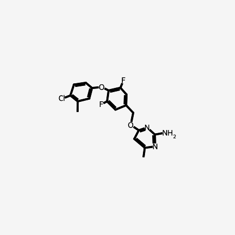 Cc1cc(OCc2cc(F)c(Oc3ccc(Cl)c(C)c3)c(F)c2)nc(N)n1